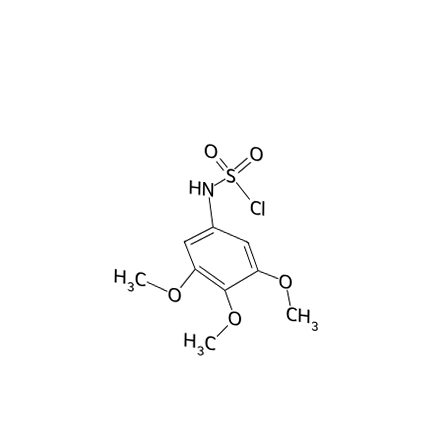 COc1cc(NS(=O)(=O)Cl)cc(OC)c1OC